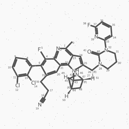 Cc1nc2c(F)c(-c3cccc(Cl)c3Cl)c(CCC#N)cc2c2c1cc([C@@H](C)N1CCCN(c3cccc(F)n3)C1=O)n2[C@H]1[C@H]2CN[C@@H]1C2